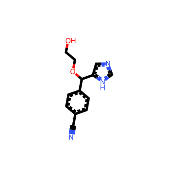 N#Cc1ccc(C(OCCO)c2cnc[nH]2)cc1